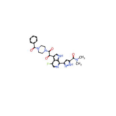 CN(C)C(=O)c1cc(-c2ncc(F)c3c(C(=O)C(=O)N4CCN(C(=O)c5ccccc5)CC4)c[nH]c23)n[nH]1